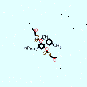 C=C(C)[C@@H]1CCC(C)=C[C@H]1c1c(OC(=S)SCC2CO2)cc(CCCCC)cc1OC(=S)SCC1CO1